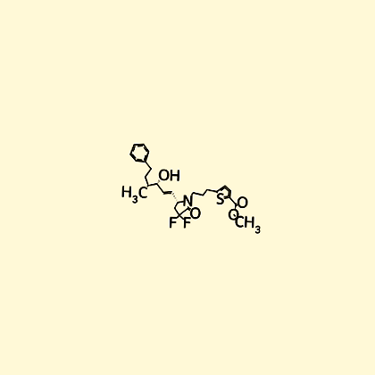 COC(=O)c1ccc(CCCN2C(=O)C(F)(F)C[C@@H]2/C=C/[C@@H](O)[C@@H](C)CCc2ccccc2)s1